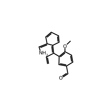 C=C/C(c1cc(C=O)ccc1OC)=c1/cccc/c1=C/N